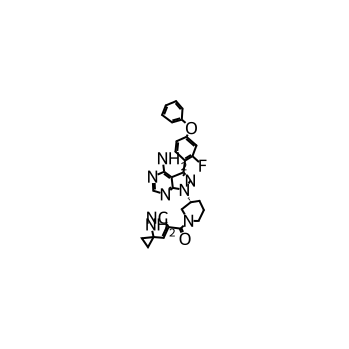 N#C/C(=C\C1(N)CC1)C(=O)N1CCC[C@@H](n2nc(-c3ccc(Oc4ccccc4)cc3F)c3c(N)ncnc32)C1